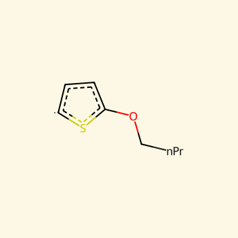 CCCCOc1cc[c]s1